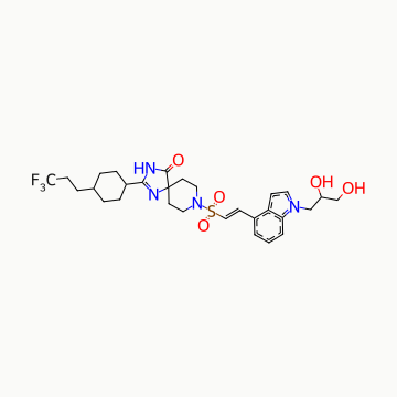 O=C1NC(C2CCC(CCC(F)(F)F)CC2)=NC12CCN(S(=O)(=O)C=Cc1cccc3c1ccn3CC(O)CO)CC2